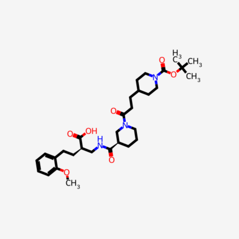 COc1ccccc1CC[C@H](CNC(=O)[C@@H]1CCCN(C(=O)CCC2CCN(C(=O)OC(C)(C)C)CC2)C1)C(=O)O